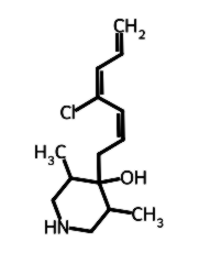 C=C/C=C(Cl)\C=C/CC1(O)C(C)CNCC1C